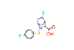 O=C(O)C1C2CC(CC2F)N1Sc1ccc(F)cc1